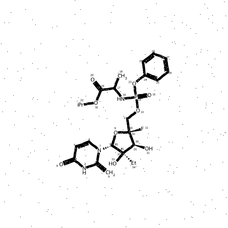 C=C1NC(=O)C=CN1[C@@H]1O[C@](F)(COP(=O)(NC(C)C(=O)OC(C)C)Oc2ccccc2)[C@@H](O)[C@]1(O)CC